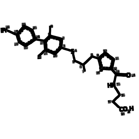 Cc1cc(SCC(C)Cc2ccc(C(=O)NCCC(=O)O)s2)cc(C)c1-c1ccc(C(C)C)cc1